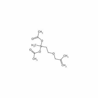 C=C(C)COCC[Si](C)(OC(C)=O)OC(C)=O